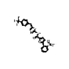 O=C(Nc1ncc(Cc2ccc(C(F)(F)F)cc2)s1)c1ccc(-c2ccccc2[N+](=O)[O-])o1